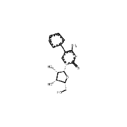 Nc1nc(=O)n([C@@H]2O[C@H](CO)[C@H](O)[C@@H]2O)cc1-c1ccccc1